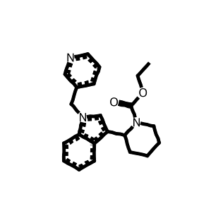 CCOC(=O)N1CCCCC1c1cn(Cc2cccnc2)c2ccccc12